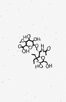 CCC(C)(CC)[C@@H](OC(CO)[C@H](C)O)[C@H](COC1OC(C(=O)O)C(OC)C(O)C1O)NC(C)=O